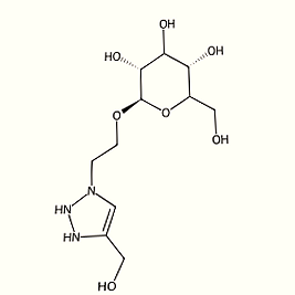 OCC1=CN(CCO[C@@H]2OC(CO)[C@@H](O)C(O)[C@H]2O)NN1